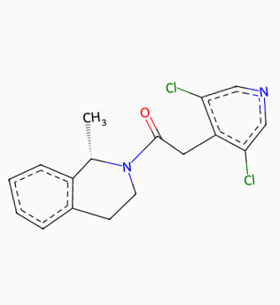 C[C@H]1c2ccccc2CCN1C(=O)Cc1c(Cl)cncc1Cl